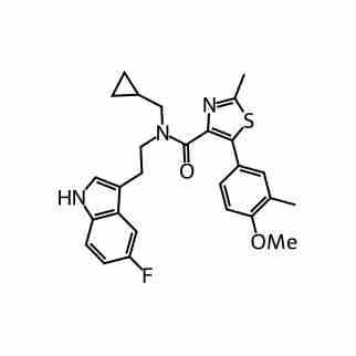 COc1ccc(-c2sc(C)nc2C(=O)N(CCc2c[nH]c3ccc(F)cc23)CC2CC2)cc1C